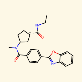 CCNC(=O)[C@H]1CCC(N(C)C(=O)c2ccc(-c3nc4ccccc4o3)cc2)C1